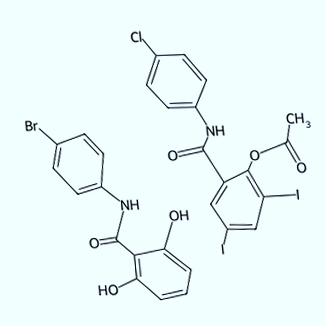 CC(=O)Oc1c(I)cc(I)cc1C(=O)Nc1ccc(Cl)cc1.O=C(Nc1ccc(Br)cc1)c1c(O)cccc1O